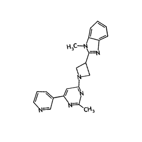 Cc1nc(-c2cccnc2)cc(N2CC(c3nc4ccccc4n3C)C2)n1